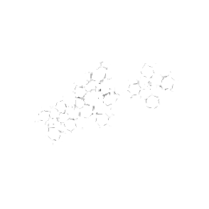 c1ccc(-c2cc(-c3ccc([Si](c4ccccc4)(c4ccccc4)c4ccccc4)cc3)nc(-n3c4ccccc4c4ccc5c(c6ccccc6n5-c5cccc([Si](c6ccccc6)(c6ccccc6)c6ccccc6)c5)c43)n2)cc1